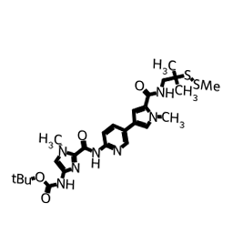 CSSC(C)(C)CNC(=O)c1cc(-c2ccc(NC(=O)c3nc(NC(=O)OC(C)(C)C)cn3C)nc2)cn1C